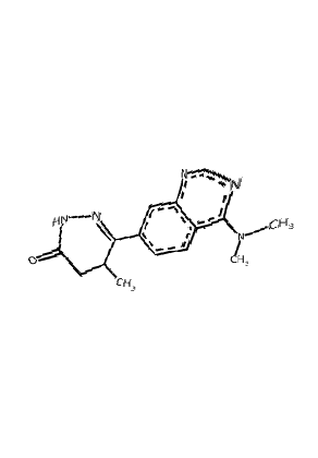 CC1CC(=O)NN=C1c1ccc2c(N(C)C)ncnc2c1